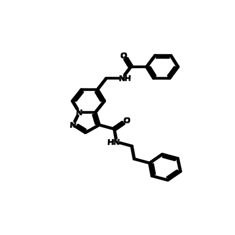 O=C(NCc1ccn2ncc(C(=O)NCCc3ccccc3)c2c1)c1ccccc1